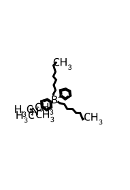 CCCCCCCC[B-](CCCCCCCC)(c1ccccc1)c1ccccc1.C[N+](C)(C)C